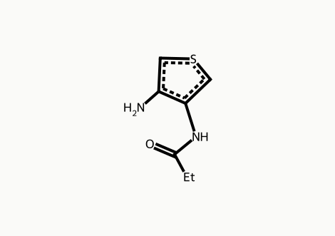 CCC(=O)Nc1cscc1N